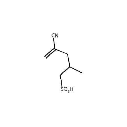 C=C(C#N)CC(C)CS(=O)(=O)O